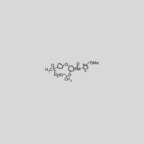 C=S(C)(=O)c1ccc(Oc2cc(O[C@@H](C)CO)cc(C(=O)Nc3nc(COC)cs3)c2)cc1